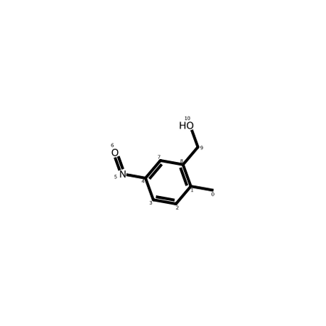 Cc1ccc(N=O)cc1CO